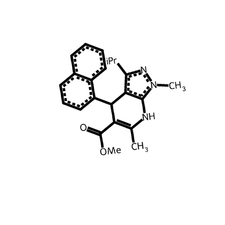 COC(=O)C1=C(C)Nc2c(c(C(C)C)nn2C)C1c1cccc2ccccc12